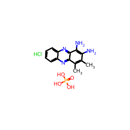 Cc1c(N)c(N)c2nc3ccccc3nc2c1C.Cl.O=P(O)(O)O